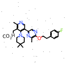 Cc1nc(-c2cnc(C)c(CC(=O)O)c2N2CCC(C)(C)CC2)cnc1OCCc1ccc(F)cc1